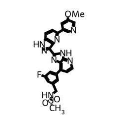 COc1cncc(-c2ccc3[nH]nc(-c4nc5c(-c6cc(F)cc(CNS(C)(=O)=O)c6)ccnc5[nH]4)c3n2)c1